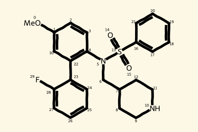 COc1ccc(N(CC2CCNCC2)S(=O)(=O)c2ccccc2)c(-c2ccccc2F)c1